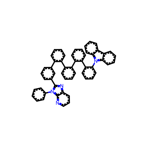 c1ccc(-n2c(-c3cccc(-c4ccccc4-c4ccccc4-c4ccccc4-c4ccccc4-n4c5ccccc5c5ccccc54)c3)nc3cccnc32)cc1